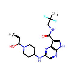 C=CC(O)N1CCC(Nc2cnc3[nH]cc(C(=O)NCC(C)(F)F)c3n2)CC1